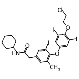 Cc1cc(CC(=O)NC2CCCCC2)cc(I)c1Oc1cc(I)c(OCCCl)c(I)c1